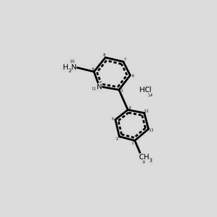 Cc1ccc(-c2cccc(N)n2)cc1.Cl